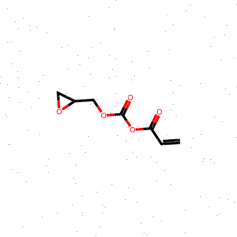 C=CC(=O)OC(=O)OCC1CO1